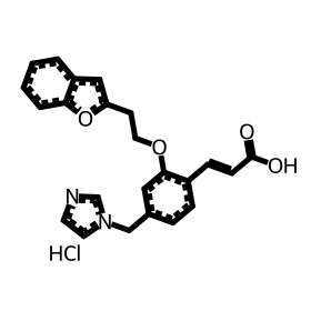 Cl.O=C(O)C=Cc1ccc(Cn2ccnc2)cc1OCCc1cc2ccccc2o1